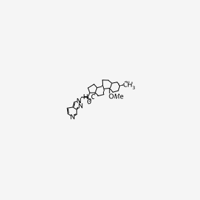 COCC12CC[C@H](C)CC1CCC1C3CCC(C(=O)Cn4cc5ccncc5n4)C3(C)CCC12